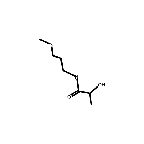 CSCCCNC(=O)C(C)O